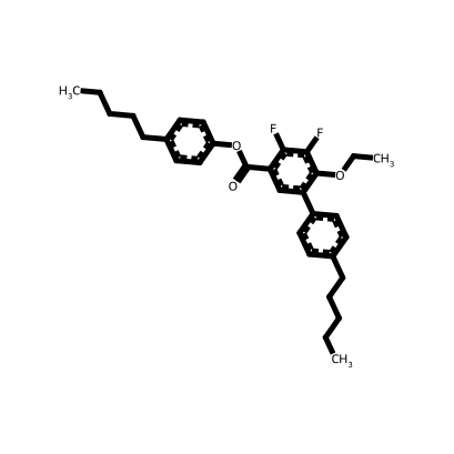 CCCCCc1ccc(OC(=O)c2cc(-c3ccc(CCCCC)cc3)c(OCC)c(F)c2F)cc1